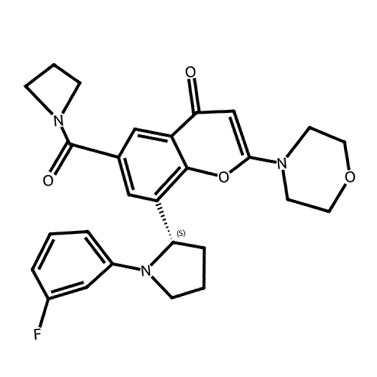 O=C(c1cc([C@@H]2CCCN2c2cccc(F)c2)c2oc(N3CCOCC3)cc(=O)c2c1)N1CCC1